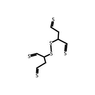 S=CCC(C=S)SSC(C=S)CC=S